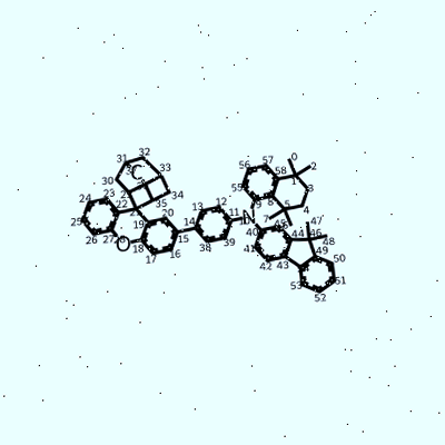 CC1(C)CCC(C)(C)c2c(N(c3ccc(-c4ccc5c(c4)C4(c6ccccc6O5)C5CC6CC7CC4C75C6)cc3)c3ccc4c(c3)C(C)(C)c3ccccc3-4)cccc21